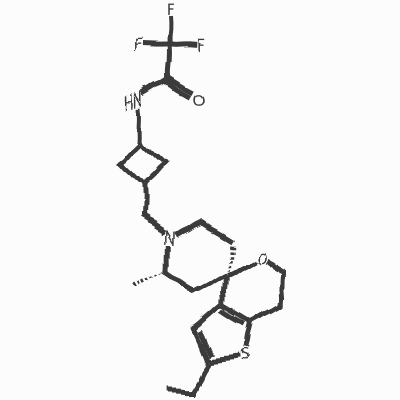 CCc1cc2c(s1)CCO[C@@]21CCN(CC2CC(NC(=O)C(F)(F)F)C2)[C@@H](C)C1